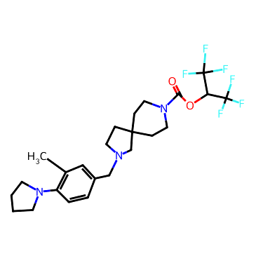 Cc1cc(CN2CCC3(CCN(C(=O)OC(C(F)(F)F)C(F)(F)F)CC3)C2)ccc1N1CCCC1